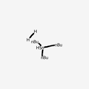 CCC[CH2][SnH]([CH2]CCC)[CH2]CCC.[H][H]